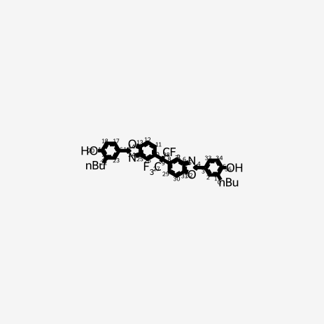 CCCCc1cc(-c2nc3cc(C(c4ccc5oc(-c6ccc(O)c(CCCC)c6)nc5c4)(C(F)(F)F)C(F)(F)F)ccc3o2)ccc1O